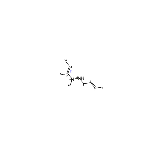 CC=CCNN(C)/C(C)=C/C